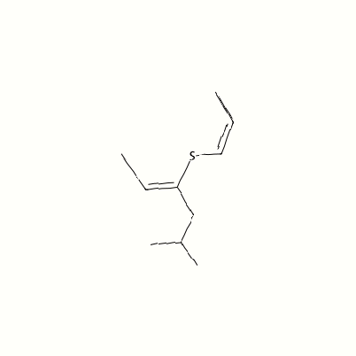 C/C=C\S/C(=C\C)CC(C)C